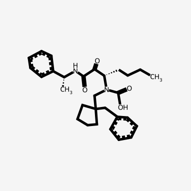 CCCC[C@@H](C(=O)C(=O)N[C@H](C)c1ccccc1)N(CC1(Cc2ccccc2)CCCC1)C(=O)O